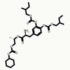 CCC(C)COC(=O)Oc1ccc(C[C@H](N)C(=O)O[C@@H](C)COC(=O)OC2CCCCC2)cc1OC(=O)OCC(C)CC